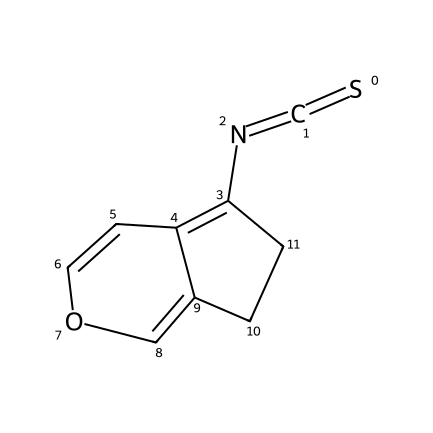 S=C=NC1=C2C=COC=C2CC1